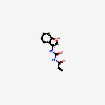 C=CC(=O)NC(=O)Nc1coc2ccccc12